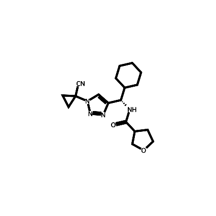 N#CC1(n2cc([C@@H](NC(=O)C3CCOC3)C3CCCCC3)nn2)CC1